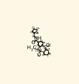 CCN1C(=O)c2ccccc2[S+]([O-])c2ccc(C(=O)NCc3cccs3)cc21